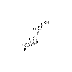 CCOc1cc(F)c(C#Cc2cc(F)c(C(F)(F)Oc3cc(F)c(F)c(F)c3)c(F)c2)c(Cl)c1